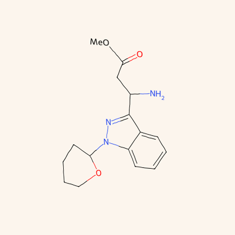 COC(=O)CC(N)c1nn(C2CCCCO2)c2ccccc12